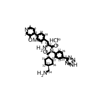 COc1cnccc1-c1ccc(C[C@H](N)C(=O)N(c2ccc(-c3nn[nH]n3)cc2)C(=O)[C@H]2CC[C@H](CN)CC2)cc1.Cl